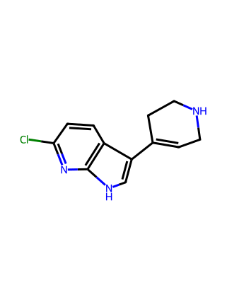 Clc1ccc2c(C3=CCNCC3)c[nH]c2n1